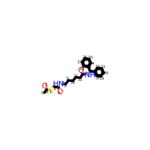 CC(=O)SCC(=O)NCCCCCC(=O)NC(c1ccccc1)c1ccccc1